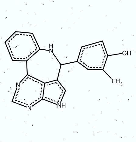 Cc1cc(C2Nc3ccccc3-c3ncnc4[nH]cc2c34)ccc1O